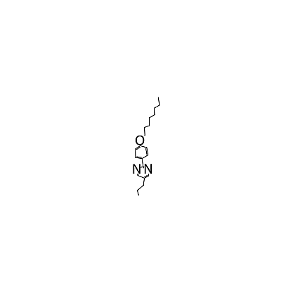 CCCCCCCCOc1ccc(-c2ncc(CCC)cn2)cc1